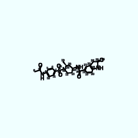 CC(=O)Nc1ccc(S(=O)(=O)N2CC[C@H](NC(=O)c3ccc4c(c3)CC(=O)N4)C[C@@H]2C)cc1